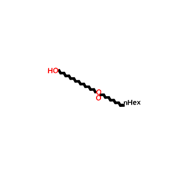 CCCCCC/C=C\CCCCCCCC(=O)OCCCCCCCCCCCCCCCCO